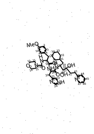 COc1ccc(CC(NC(=O)N2CCOCC2)C(=O)NC(Cc2c[nH]cn2)C(=O)N[C@@H](CC2CCCCC2)[C@@H](O)[C@@H](O)CCc2ccccn2)cc1